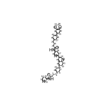 O=C(CCCc1ccc(-c2ccc3ncc(-c4ccc(NC(=O)CCCc5ccc(-c6ccc7c(c6)OCCO7)cc5)cn4)cc3c2)cc1)Nc1cccnc1